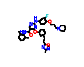 Cc1noc(CCc2cccc(Oc3nc(Nc4ccc(OCCCN5CCCCC5)c(F)c4)ncc3C(=O)Nc3c(C)cccc3C)c2)n1